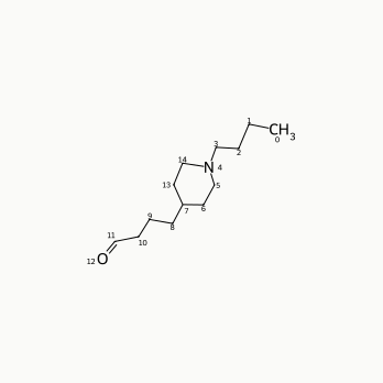 CCCCN1CCC(CCCC=O)CC1